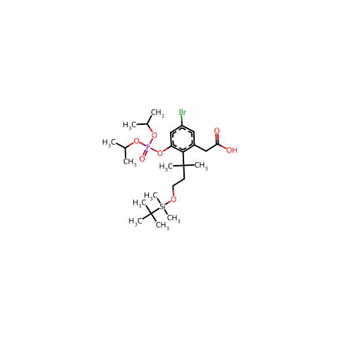 CC(C)OP(=O)(Oc1cc(Br)cc(CC(=O)O)c1C(C)(C)CCO[Si](C)(C)C(C)(C)C)OC(C)C